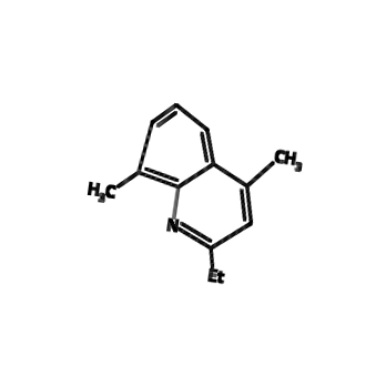 CCc1cc(C)c2cccc(C)c2n1